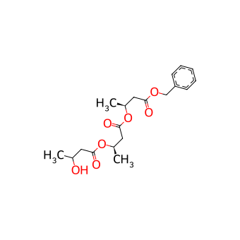 CC(O)CC(=O)O[C@H](C)CC(=O)O[C@@H](C)CC(=O)OCc1ccccc1